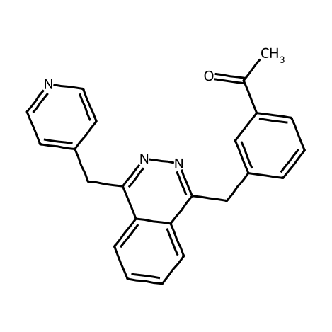 CC(=O)c1cccc(Cc2nnc(Cc3ccncc3)c3ccccc23)c1